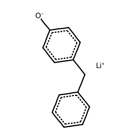 [Li+].[O-]c1ccc(Cc2ccccc2)cc1